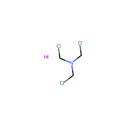 ClCN(CCl)CCl.I